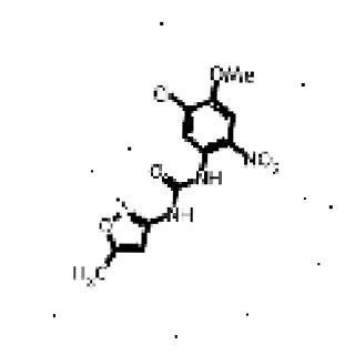 COc1cc([N+](=O)[O-])c(NC(=O)Nc2cc(C)on2)cc1Cl